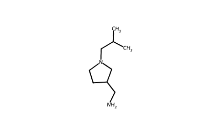 CC(C)CN1CCC(CN)C1